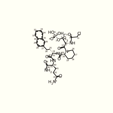 CC(OP(=O)(O)O)[C@H](NC(=O)CCl)C(=O)N1CCCC[C@H]1C(=O)N[C@@H](CCc1ccc2ccccc2c1)C(=O)N[C@@H](CCC(N)=O)C(N)=O